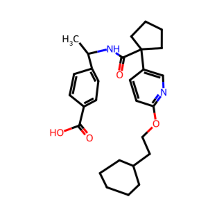 CC(NC(=O)C1(c2ccc(OCCC3CCCCC3)nc2)CCCC1)c1ccc(C(=O)O)cc1